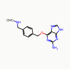 Nc1nc(OCc2ccc(CNC=O)cc2)c2nc[nH]c2n1